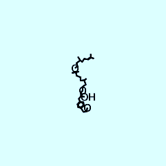 CC(C)=CCCC(C)CCOC(C)(C)CCCC(C)CCOCC(O)Cc1ccc2c(c1)OCC2